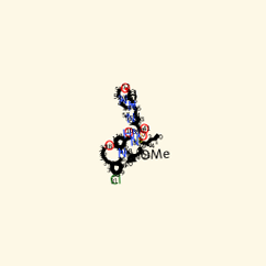 C=CC[C@H](C)CS(=O)(=NC(=O)c1ccc2c(c1)N(C[C@]13CC1[C@H]3[C@H](C)OC)Cc1ccc(Cl)cc1CCCCO2)NC(=O)c1cc(CN2CCN3CCOC[C@@H]3C2)n(C)c1